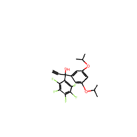 C#CC(O)(c1cc(OC(C)C)cc(OC(C)C)c1)c1c(F)c(F)c(F)c(F)c1F